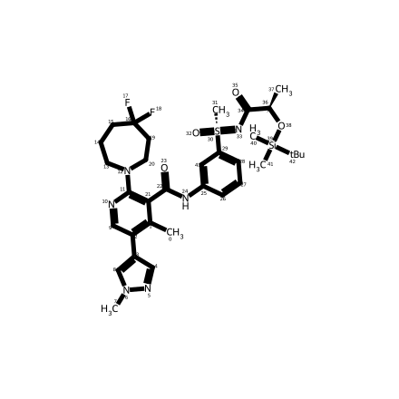 Cc1c(-c2cnn(C)c2)cnc(N2CCCC(F)(F)CC2)c1C(=O)Nc1cccc([S@@](C)(=O)=NC(=O)[C@@H](C)O[Si](C)(C)C(C)(C)C)c1